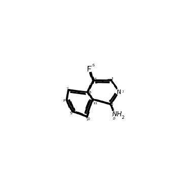 Nc1ncc(F)c2ccccc12